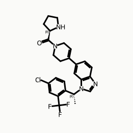 C[C@H](c1ccc(Cl)cc1C(F)(F)F)n1cnc2ccc(C3=CCN(C(=O)[C@H]4CCCN4)CC3)cc21